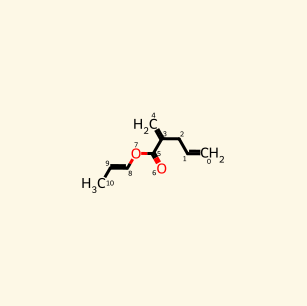 C=CCC(=C)C(=O)OC=CC